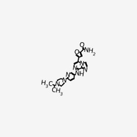 CC(C)N1CCN(c2ccc(Nc3ncc(-c4coc(C(N)=O)c4)n4ccnc34)cn2)CC1